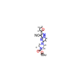 C[C@@H]1CN(c2ccn3nc(-c4ccco4)c(C#N)c3n2)CCN1C(=O)OC(C)(C)C